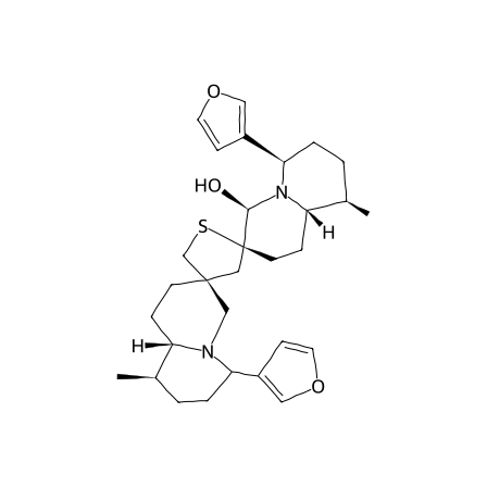 C[C@@H]1CCC(c2ccoc2)N2C[C@@]3(CC[C@@H]12)CS[C@@]1(CC[C@H]2[C@H](C)CC[C@H](c4ccoc4)N2[C@@H]1O)C3